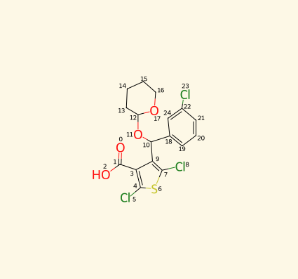 O=C(O)c1c(Cl)sc(Cl)c1C(OC1CCCCO1)c1cccc(Cl)c1